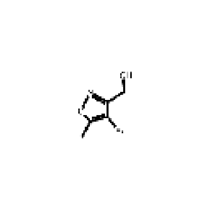 CC(=O)c1c(CO)noc1C